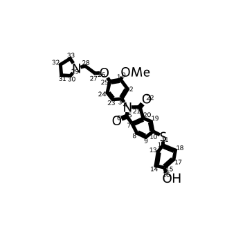 COc1cc(N2C(=O)c3ccc(Sc4ccc(O)cc4)cc3C2=O)ccc1OCCN1CCCC1